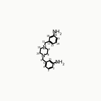 Nc1cccc(CN2CCN(Cc3cccc(N)c3)CC2)c1